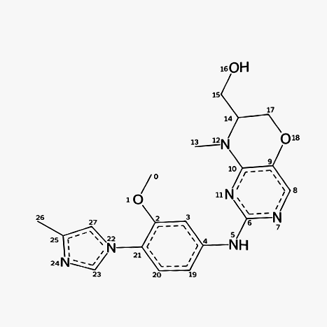 COc1cc(Nc2ncc3c(n2)N(C)C(CO)CO3)ccc1-n1cnc(C)c1